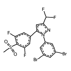 CS(=O)(=O)c1c(F)cc(-c2cc(C(F)F)nn2-c2cc(Br)cc(Br)c2)cc1F